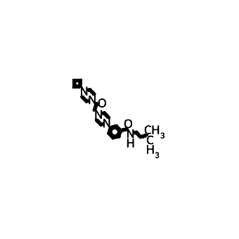 CC(C)CCNC(=O)c1cccc(N2CCN(CC(=O)N3CCN(C4CCC4)CC3)CC2)c1